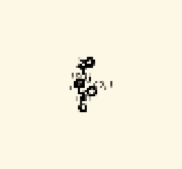 Cc1c(C(=O)Nc2cc(F)c(CC(=O)C(F)(O[C@H]3CC[C@H](C(=O)O)CC3)N3CCCC3)cc2Cl)c2ccccc2n1C